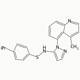 Cc1ccnc2cccc(-n3nccc3NSc3ccc(C(C)C)cc3)c12